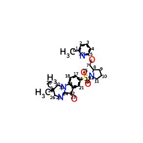 Cc1cccc(OCC2CCCN2S(=O)(=O)c2ccc3c(c2)C(=O)C2=NCC(C)(C)CN23)n1